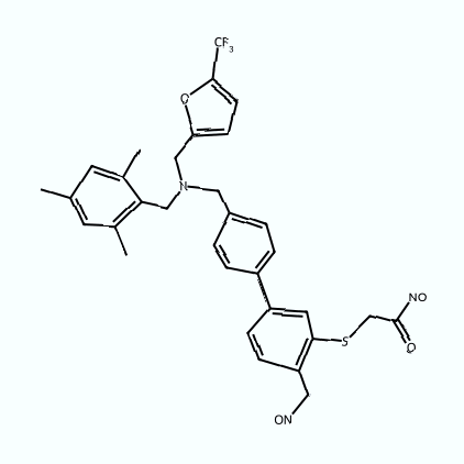 Cc1cc(C)c(CN(Cc2ccc(-c3ccc(CN=O)c(SCC(=O)N=O)c3)cc2)Cc2ccc(C(F)(F)F)o2)c(C)c1